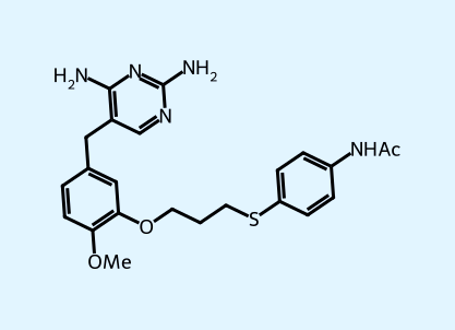 COc1ccc(Cc2cnc(N)nc2N)cc1OCCCSc1ccc(NC(C)=O)cc1